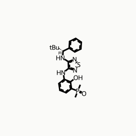 CC(C)(C)[C@@H](Nc1nsnc1Nc1cccc(P(C)(C)=O)c1O)c1ccccc1